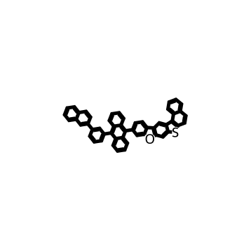 c1cc(-c2ccc3ccccc3c2)cc(-c2c3ccccc3c(-c3ccc4c(c3)oc3cc5sc6ccc7ccccc7c6c5cc34)c3ccccc23)c1